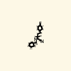 CC(C)(CCc1ccc(F)cc1)C(C#N)/N=C/c1ccccc1